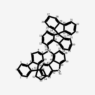 c1ccc2c(c1)-c1ccc(N(c3cccc4c3-c3ccccc3C43c4ccccc4-c4ccccc43)c3cccc4sc5ccccc5c34)cc1C21CCCC1